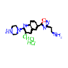 Cl.Cl.NCCc1noc(-c2ccc3nc(N4CCNCC4)c(Cl)cc3c2)n1